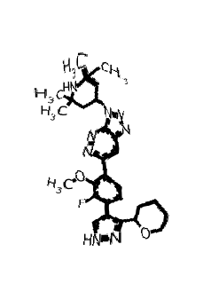 COc1c(-c2cc3nnn(C4CC(C)(C)NC(C)(C)C4)c3nn2)ccc(-c2c[nH]nc2C2CCCCO2)c1F